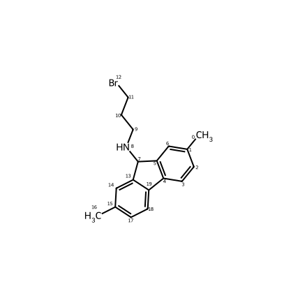 Cc1ccc2c(c1)C(NCCCBr)c1cc(C)ccc1-2